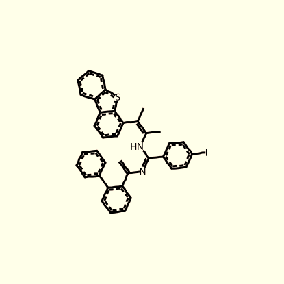 C=C(/N=C(\N/C(C)=C(/C)c1cccc2c1sc1ccccc12)c1ccc(I)cc1)c1ccccc1-c1ccccc1